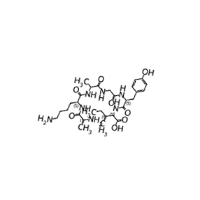 CC[C@H](C)[C@H](NC(=O)[C@H](Cc1ccc(O)cc1)NC(=O)CNC(=O)C(C)NC(=O)[C@H](CCCCN)NC(=O)[C@H](C)N)C(=O)O